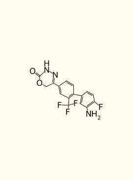 Nc1cc(-c2ccc(C3=NNC(=O)OC3)cc2C(F)(F)F)ccc1F